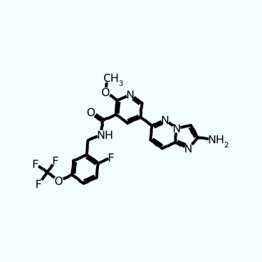 COc1ncc(-c2ccc3nc(N)cn3n2)cc1C(=O)NCc1cc(OC(F)(F)F)ccc1F